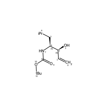 C=C[C@H](O)[C@H](CC(C)C)NC(=O)OC(C)(C)C